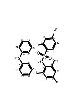 Cc1cc(C)c(OS(=O)(=O)c2ccc(F)cc2F)c(C)c1.c1ccc(Sc2ccccc2)cc1